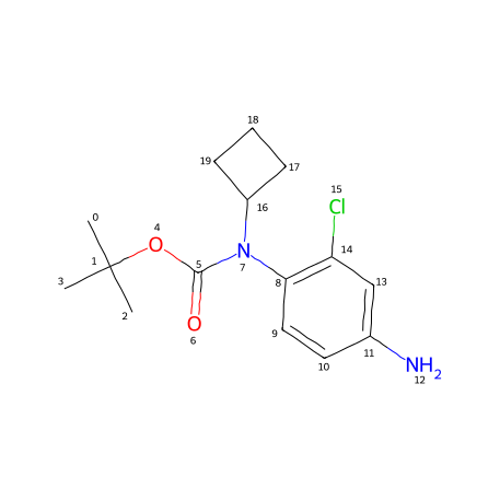 CC(C)(C)OC(=O)N(c1ccc(N)cc1Cl)C1CCC1